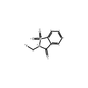 O=C1c2ccccc2S(=O)(=O)N1CF